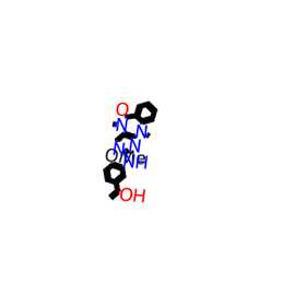 C=C(O)c1ccc(OC)c(Nc2ncc3c(n2)N(C)c2ccccc2C(=O)N3C)c1